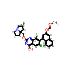 COCOc1cc(-c2c(F)cc3c(O)nc(OC[C@@]45CCCN4C[C@H](F)C5)nc3c2F)c2c(Cl)cccc2c1